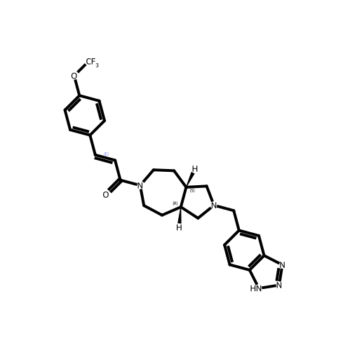 O=C(/C=C/c1ccc(OC(F)(F)F)cc1)N1CC[C@@H]2CN(Cc3ccc4[nH]nnc4c3)C[C@@H]2CC1